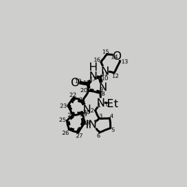 CCN(CC1CCCN1)c1nc(N2CCOCC2)[nH]c(=O)c1-c1ccc2ccccc2n1